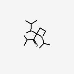 CC(C)C(=O)C1(N(C)C(C)C)CCN1C(C)C